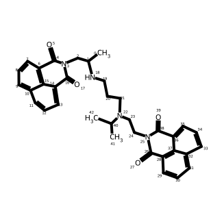 CC(CN1C(=O)c2cccc3cccc(c23)C1=O)NCCCN(CCN1C(=O)c2cccc3cccc(c23)C1=O)C(C)C